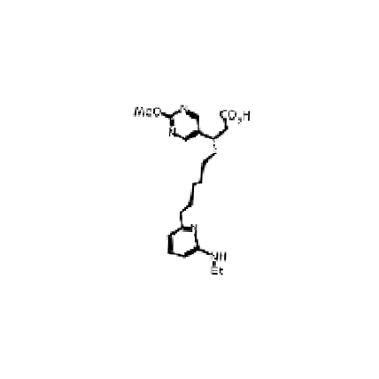 CCNc1cccc(CCCCCC[C@@H](CC(=O)O)c2cnc(OC)nc2)n1